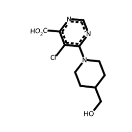 O=C(O)c1ncnc(N2CCC(CO)CC2)c1Cl